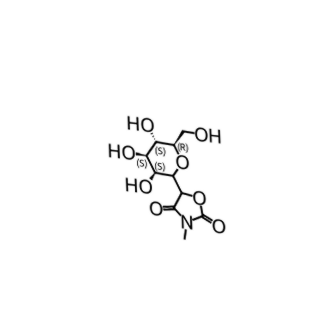 CN1C(=O)OC(C2O[C@H](CO)[C@@H](O)[C@H](O)[C@@H]2O)C1=O